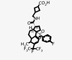 CC1C(C(F)(C(F)(F)F)C(F)(F)F)=CC=C2C1CC[C@H]1[C@H](C(=O)NCC3CC(C(=O)O)C3)CC[C@@]21S(=O)(=O)c1ccc(F)cc1